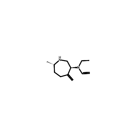 C=CN(CC)[C@@H]1CN[C@@H](C)CCC1=C